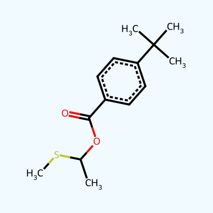 CSC(C)OC(=O)c1ccc(C(C)(C)C)cc1